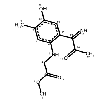 COC(=O)CNc1cc(C)c(O)cc1C(=N)C(C)=O